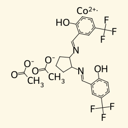 CC(=O)[O-].CC(=O)[O-].Oc1ccc(C(F)(F)F)cc1C=NC1CCCC1N=Cc1cc(C(F)(F)F)ccc1O.[Co+2]